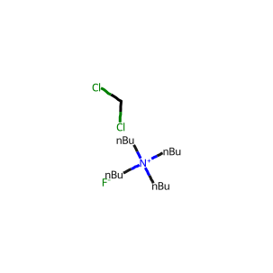 CCCC[N+](CCCC)(CCCC)CCCC.ClCCl.[F-]